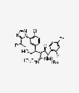 CC(C)(C)C[C@]1(c2ccc(Br)cc2F)NC(=NC(=O)O)N(C(CO)c2ccc(Cl)c(-n3ncnc3C(F)F)c2)C1=O